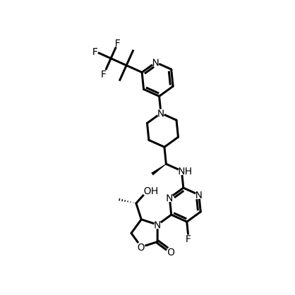 C[C@H](O)C1COC(=O)N1c1nc(N[C@@H](C)C2CCN(c3ccnc(C(C)(C)C(F)(F)F)c3)CC2)ncc1F